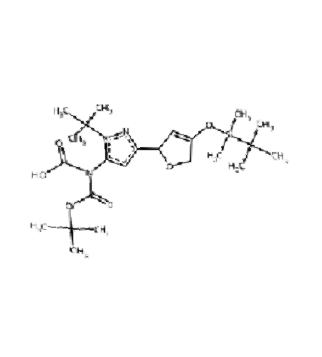 CC(C)(C)OC(=O)N(C(=O)O)c1cc(C2C=C(O[Si](C)(C)C(C)(C)C)CO2)nn1C(C)(C)C